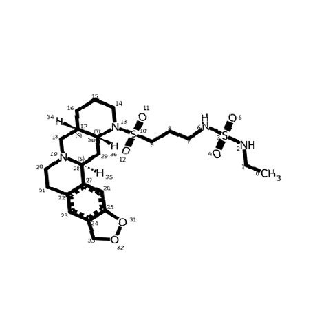 CCNS(=O)(=O)NCCCS(=O)(=O)N1CCC[C@H]2CN3CCc4cc5c(cc4[C@@H]3C[C@H]21)OOC5